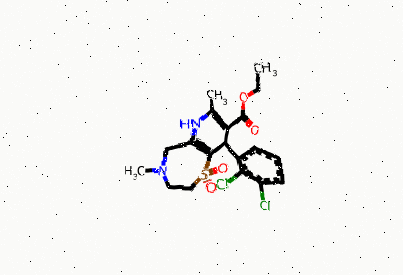 CCOC(=O)C1=C(C)NC2=C(C1c1cccc(Cl)c1Cl)S(=O)(=O)CCN(C)C2